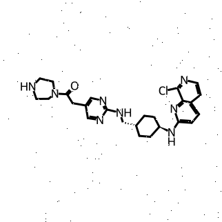 O=C(Cc1cnc(NC[C@H]2CC[C@H](Nc3ccc4ccnc(Cl)c4n3)CC2)nc1)N1CCNCC1